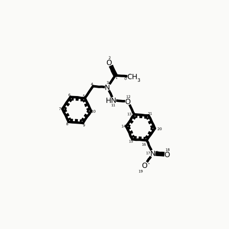 CC(=O)N(Cc1ccccc1)NOc1ccc([N+](=O)[O-])cc1